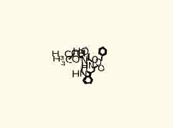 CC(C)(C)OC(=O)NC(CO)C(=O)NC(Cc1c[nH]c2ccccc12)C(=O)OCc1ccccc1